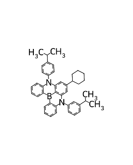 CC(C)c1ccc(N2c3ccccc3B3c4ccccc4N(c4cccc(C(C)C)c4)c4cc(C5CCCCC5)cc2c43)cc1